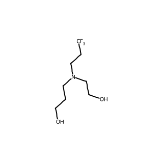 OCCCN(CCO)CCC(F)(F)F